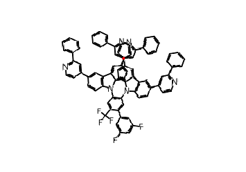 Fc1cc(F)cc(-c2cc(-n3c4ccc(-c5ccnc(-c6ccccc6)c5)cc4c4cc(-c5ccnc(-c6ccccc6)c5)ccc43)c(-n3c4ccc(-c5ccnc(-c6ccccc6)c5)cc4c4cc(-c5ccnc(-c6ccccc6)c5)ccc43)cc2C(F)(F)F)c1